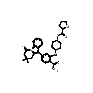 CC1(C)CC(=O)n2c(c(-c3ccc(C(N)=O)c(N[C@H]4CC[C@H](OC(=O)C5CCCN5)CC4)c3)c3ccccc32)C1